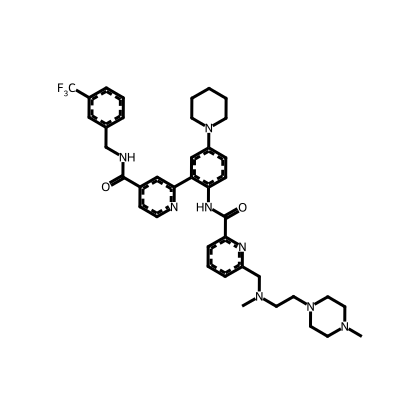 CN1CCN(CCN(C)Cc2cccc(C(=O)Nc3ccc(N4CCCCC4)cc3-c3cc(C(=O)NCc4cccc(C(F)(F)F)c4)ccn3)n2)CC1